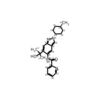 CC(C)(O)c1cc2nn([C@H]3CC[C@H](C)CC3)cc2cc1NC(=O)c1ccccn1